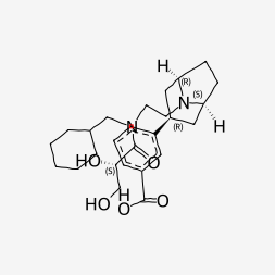 O=C(O)c1cccc([C@H]2C[C@H]3CC[C@@H](C2)N3CCN(CC2CCCCC2)C(=O)[C@@H](O)CO)c1